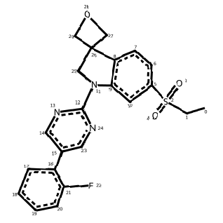 CCS(=O)(=O)c1ccc2c(c1)N(c1ncc(-c3ccccc3F)cn1)CC21COC1